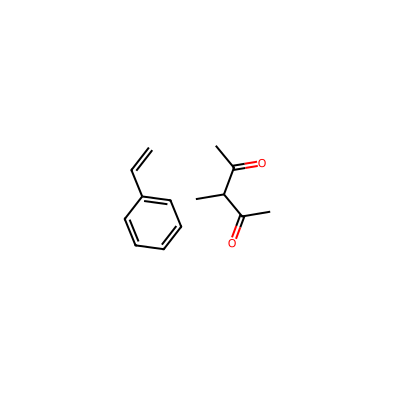 C=Cc1ccccc1.CC(=O)C(C)C(C)=O